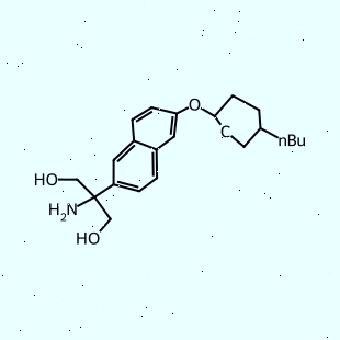 CCCCC1CCC(Oc2ccc3cc(C(N)(CO)CO)ccc3c2)CC1